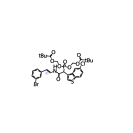 CC(C)(C)C(=O)OCOP(=O)(OCOC(=O)C(C)(C)C)C(C(=O)N/C=C/c1cccc(Br)c1)c1csc2ccc(Cl)cc12